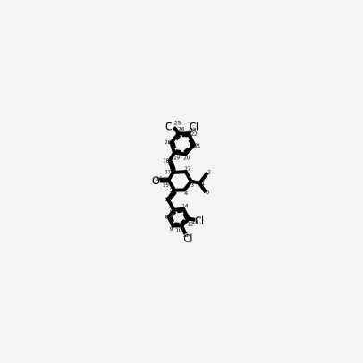 CC(C)C1C/C(=C\c2ccc(Cl)c(Cl)c2)C(=O)/C(=C/c2ccc(Cl)c(Cl)c2)C1